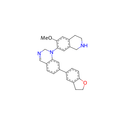 COc1cc2c(cc1N1CN=Cc3ccc(-c4ccc5c(c4)CCO5)cc31)CNCC2